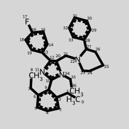 CCc1cccc(CC)c1-c1nc(-c2ccc(F)cc2)c(CN2CCCCC2c2ccccc2)n1CC